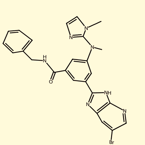 CN(c1cc(C(=O)NCc2ccccc2)cc(-c2nc3cc(Br)cnc3[nH]2)c1)c1nccn1C